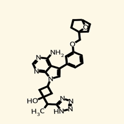 CC(c1nnn[nH]1)C1(O)CC(n2cc(-c3cccc(OCC45CCC(CC4)O5)c3)c3c(N)ncnc32)C1